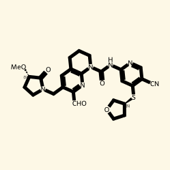 CO[C@H]1CCN(Cc2cc3c(nc2C=O)N(C(=O)Nc2cc(S[C@H]4CCOC4)c(C#N)cn2)CCC3)C1=O